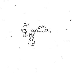 CCCCN(CC)C(=O)Cn1nc(C(=O)c2ccc(CO)nc2)c2ccc(OC)cc21